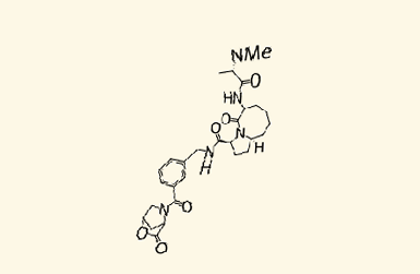 CN[C@@H](C)C(=O)N[C@H]1CCCC[C@H]2CC[C@@H](C(=O)NCc3cccc(C(=O)N4CC5CC4C(=O)O5)c3)N2C1=O